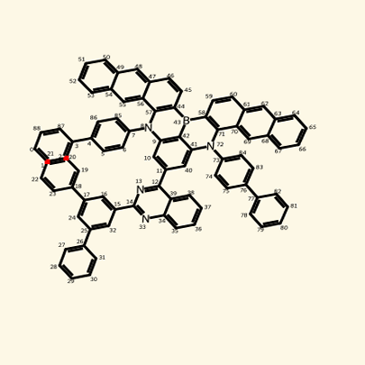 c1ccc(-c2ccc(N3c4cc(-c5nc(-c6cc(-c7ccccc7)cc(-c7ccccc7)c6)nc6ccccc56)cc5c4B(c4ccc6cc7ccccc7cc6c43)c3ccc4cc6ccccc6cc4c3N5c3ccc(-c4ccccc4)cc3)cc2)cc1